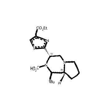 CCOC(=O)c1csc([C@@H]2CN3CCC[C@@H]3C(C(C)(C)C)N2C(=O)O)n1